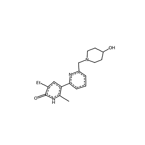 CCc1cc(-c2cccc(CN3CCC(O)CC3)n2)c(C)[nH]c1=O